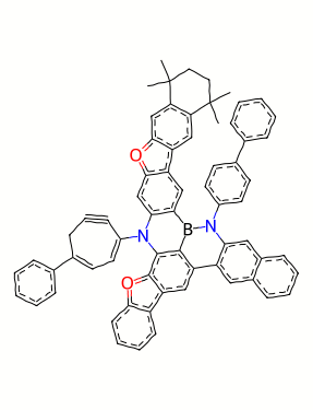 CC1(C)CCC(C)(C)c2cc3c(cc21)oc1cc2c(cc13)B1c3c(cc4c(oc5ccccc54)c3N2C2=CC=C(c3ccccc3)CC#C2)-c2cc3ccccc3cc2N1c1ccc(-c2ccccc2)cc1